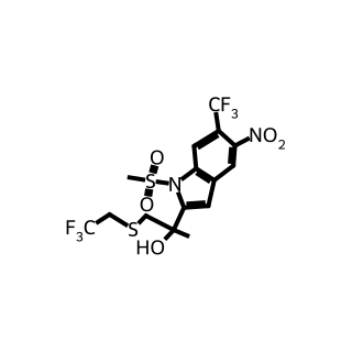 CC(O)(CSCC(F)(F)F)c1cc2cc([N+](=O)[O-])c(C(F)(F)F)cc2n1S(C)(=O)=O